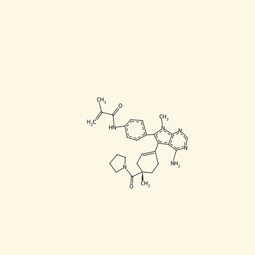 C=C(C)C(=O)Nc1ccc(-c2c(C3=CC[C@@](C)(C(=O)N4CCCC4)CC3)c3c(N)ncnc3n2C)cc1